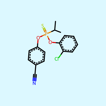 CC(C)P(=S)(Oc1ccc(C#N)cc1)Oc1ccccc1Cl